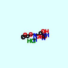 CN(C)S(=O)(=O)Nc1cc(C(O)CNCCOc2ccc3c4c(oc3c2)CCCC4)ccc1O.Cl